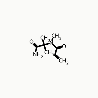 C=CC(=O)N(C)C(C)(C)C(N)=O